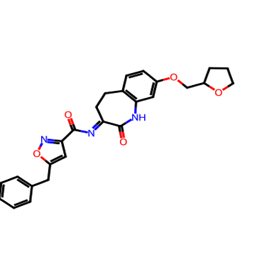 O=C1Nc2cc(OCC3CCCO3)ccc2CC/C1=N\C(=O)c1cc(Cc2ccccc2)on1